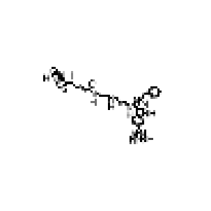 CN/N=C(\N=N)c1ccc2c(c1)[nH]c1nc(Cc3ccccc3)nc(NCCCNCCCNC(=O)CCCCC3SCC4NC(=O)NC43)c12